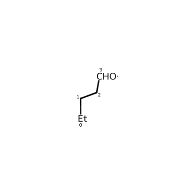 [CH2]CCC[C]=O